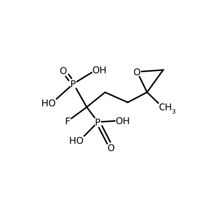 CC1(CCC(F)(P(=O)(O)O)P(=O)(O)O)CO1